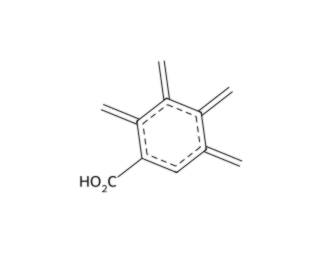 C=c1cc(C(=O)O)c(=C)c(=C)c1=C